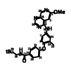 COc1cc2c(Nc3ccc(Oc4ccc(C(=O)NCC(C)(C)C)cc4)c(C)c3)ncnc2cn1